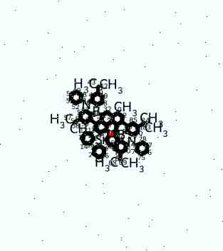 Cc1cc2c3c(cc4c([Si](c5ccccc5)(c5ccccc5)c5ccccc5)cc5c6c(cc1c3c46)B1c3ccc(C(C)C)cc3N(c3ccccc3)c3cc(C(C)C)cc-5c31)B1c3ccc(C(C)C)cc3N(c3ccccc3)c3cc(C(C)C)cc-2c31